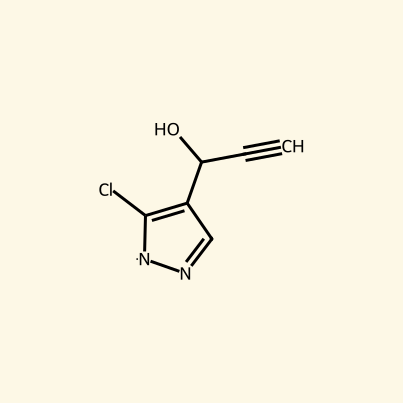 C#CC(O)C1=C(Cl)[N]N=C1